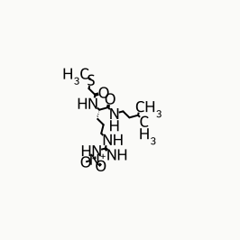 CSCC(=O)N[C@@H](CCCNC(=N)N[N+](=O)[O-])C(=O)NCCC(C)C